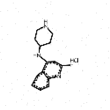 Cl.Fc1cc(NC2CCNCC2)c2ccccc2n1